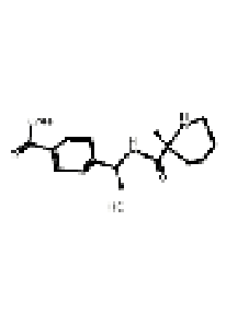 COC(=O)c1ccc([C@H](C)NC(=O)[C@@]2(C)CCCCN2)cc1.Cl